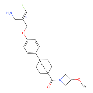 CC(C)OC1CN(C(=O)C23CCC(c4ccc(OC/C(=C/F)CN)cc4)(CC2)CC3)C1